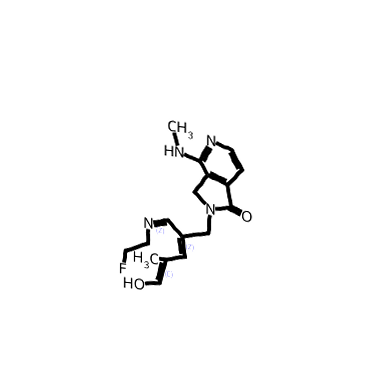 CNc1nccc2c1CN(CC(/C=N\CCF)=C/C(C)=C/O)C2=O